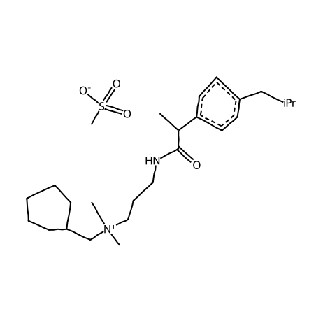 CC(C)Cc1ccc(C(C)C(=O)NCCC[N+](C)(C)CC2CCCCC2)cc1.CS(=O)(=O)[O-]